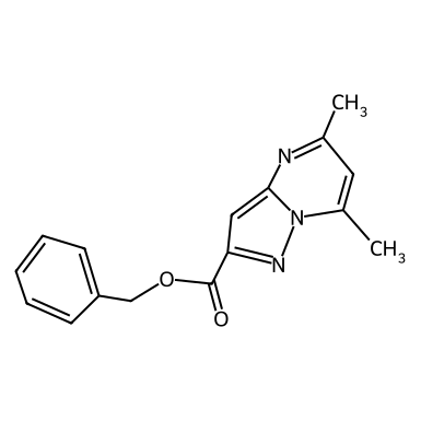 Cc1cc(C)n2nc(C(=O)OCc3ccccc3)cc2n1